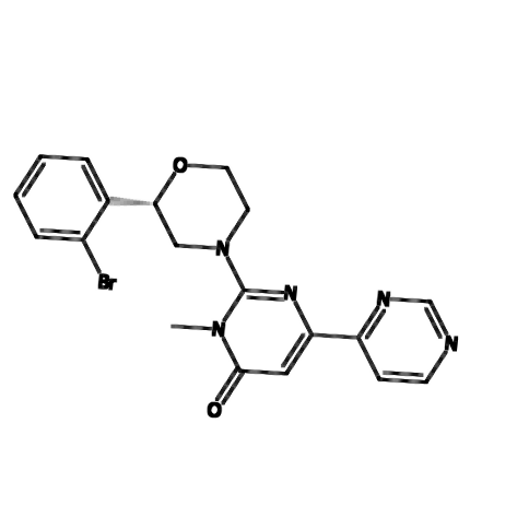 Cn1c(N2CCO[C@@H](c3ccccc3Br)C2)nc(-c2ccncn2)cc1=O